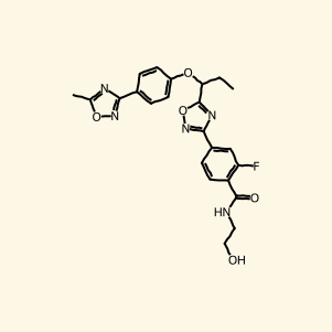 CCC(Oc1ccc(-c2noc(C)n2)cc1)c1nc(-c2ccc(C(=O)NCCO)c(F)c2)no1